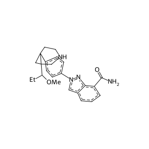 CCC(OC)C12CNCCC1(c1ccc(-n3cc4cccc(C(N)=O)c4n3)cc1)C2